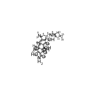 CN(C)c1cc(CNCC2CCC3(CC2)CC3)c(O)c2c1C[C@H]1C[C@H]3[C@H](N(C)C)C(O)=C(C(N)=O)C(=O)[C@@]3(O)C(O)=C1C2=O